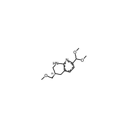 COC[C@H]1CNc2nc(C(OC)OC)ccc2C1